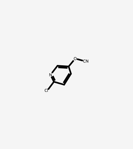 N#COc1ccc(Cl)nc1